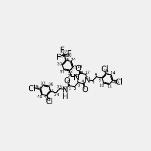 O=C(CC1C(=O)N(CCc2ccc(Cl)cc2Cl)CC(=O)N1Cc1ccc(C(F)(F)F)cc1)NCCc1ccc(Cl)cc1Cl